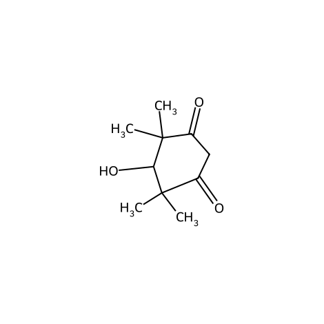 CC1(C)C(=O)CC(=O)C(C)(C)C1O